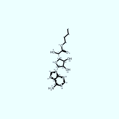 CCCCOC(=O)C(O)[C@H]1O[C@@H](n2cnc3c(N)ncnc32)C(O)C1O